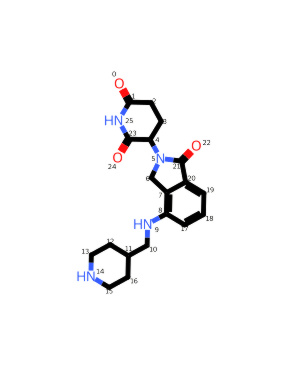 O=C1CCC(N2Cc3c(NCC4CCNCC4)cccc3C2=O)C(=O)N1